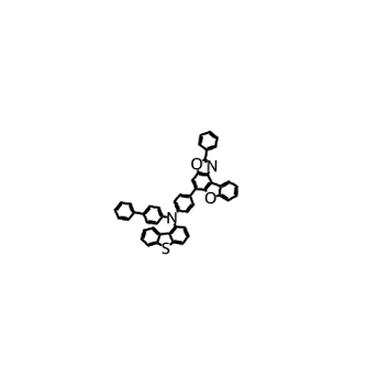 c1ccc(-c2ccc(N(c3ccc(-c4cc5oc(-c6ccccc6)nc5c5c4oc4ccccc45)cc3)c3cccc4sc5ccccc5c34)cc2)cc1